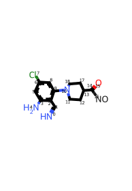 N=Cc1c(N)cc(Cl)cc1N1CCC(C(=O)N=O)CC1